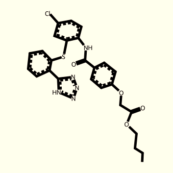 CCCCOC(=O)COc1ccc(C(=O)Nc2ccc(Cl)cc2Sc2ccccc2-c2nnn[nH]2)cc1